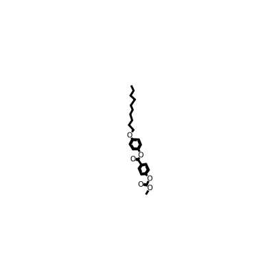 CCCCCCCCCCOc1ccc(OC(=O)c2ccc(OC(=O)OC)cc2)cc1